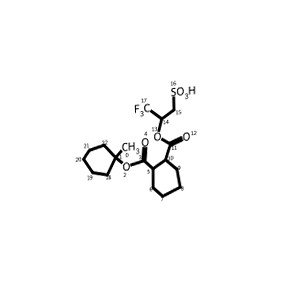 CC1(OC(=O)C2CCCCC2C(=O)OC(CS(=O)(=O)O)C(F)(F)F)CCCCC1